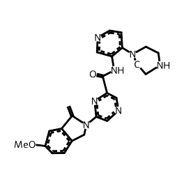 C=C1c2cc(OC)ccc2CN1c1cncc(C(=O)Nc2cnccc2N2CCNCC2)n1